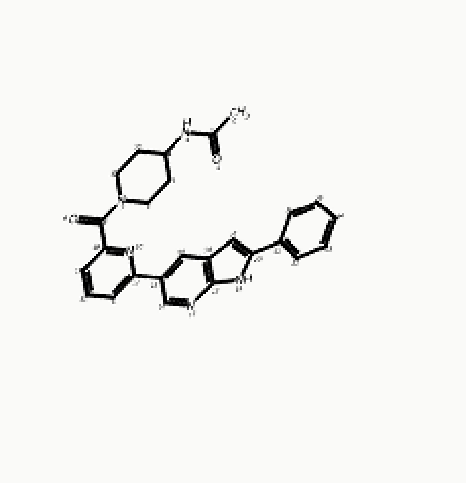 CC(=O)NC1CCN(C(=O)c2cccc(-c3cnc4[nH]c(-c5ccccc5)cc4c3)n2)CC1